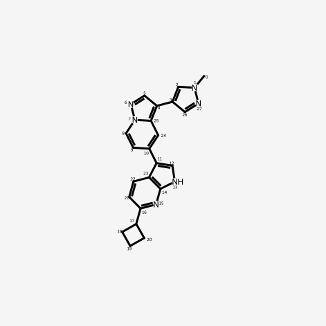 Cn1cc(-c2cnn3ccc(-c4c[nH]c5nc(C6CCC6)ccc45)cc23)cn1